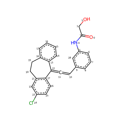 O=C(CO)Nc1cccc(C=C=C2c3ccccc3CCc3cc(Cl)ccc32)c1